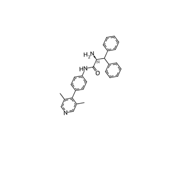 Cc1cncc(C)c1-c1ccc(NC(=O)[C@@H](N)C(c2ccccc2)c2ccccc2)cc1